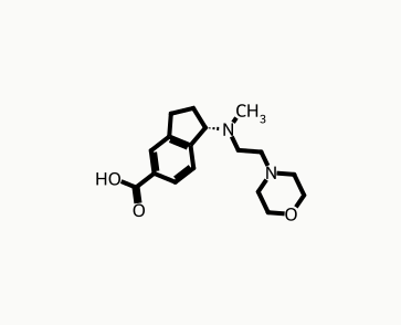 CN(CCN1CCOCC1)[C@H]1CCc2cc(C(=O)O)ccc21